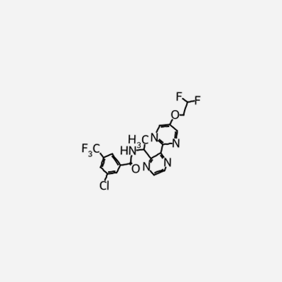 CC(NC(=O)c1cc(Cl)cc(C(F)(F)F)c1)c1nccnc1-c1ncc(OCC(F)F)cn1